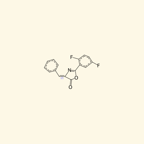 O=C1OC(c2cc(F)ccc2F)=N/C1=C\c1ccccc1